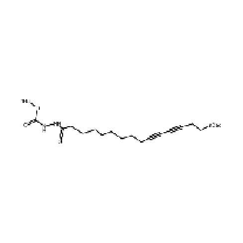 CCCCCCCCCCCCC#CC#CCCCCCCCCC(=O)NNC(=O)OC(C)(C)C